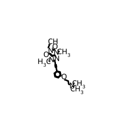 C#CCn1c(=O)c2c(nc(C#Cc3cccc(OCCCN(C)C)c3)n2C)n(C)c1=O